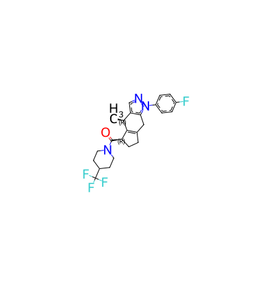 C[C@@H]1C2=C(CC[C@H]2C(=O)N2CCC(C(F)(F)F)CC2)Cc2c1cnn2-c1ccc(F)cc1